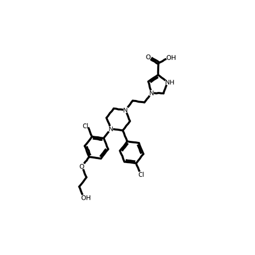 O=C(O)C1=CN(CCN2CCN(c3ccc(OCCO)cc3Cl)C(c3ccc(Cl)cc3)C2)CN1